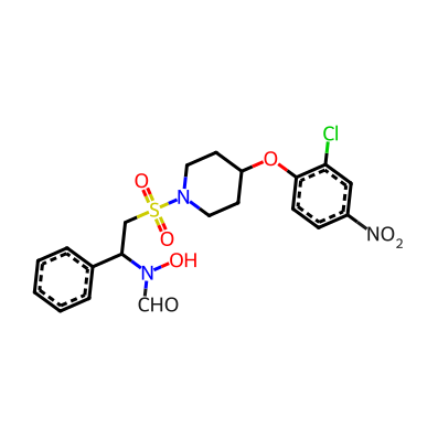 O=CN(O)C(CS(=O)(=O)N1CCC(Oc2ccc([N+](=O)[O-])cc2Cl)CC1)c1ccccc1